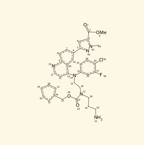 COC(=O)c1cc(-c2ccc3nccc(N(CCN(CCCN)C(=O)OCc4ccccc4)c4ccc(Cl)c(F)c4)c3c2)nn1C